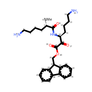 CN[C@@H](CCCCN)C(=O)N[C@@H](CCCCN)C(=O)C(=O)OCC1c2ccccc2-c2ccccc21